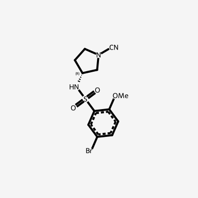 COc1ccc(Br)cc1S(=O)(=O)N[C@@H]1CCN(C#N)C1